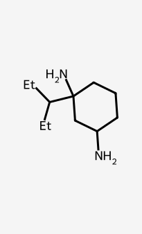 CCC(CC)C1(N)CCCC(N)C1